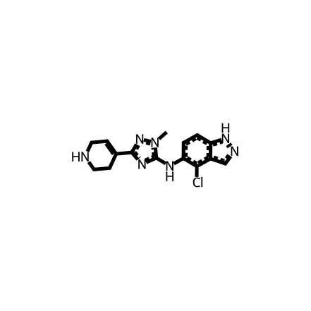 Cn1nc(C2=CCNCC2)nc1Nc1ccc2[nH]ncc2c1Cl